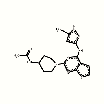 CC(=O)NC1CCN(c2nc(Nc3cc(C)[nH]n3)c3ccsc3n2)CC1